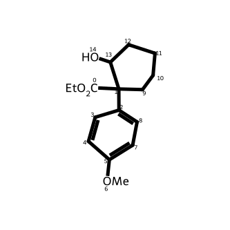 CCOC(=O)C1(c2ccc(OC)cc2)CCCCC1O